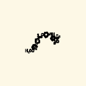 COc1ccc(N2CCN(C(=S)COC3CCC(Nc4ccc([N+](=O)[O-])c(C(F)(F)F)c4)CC3)CC2)cn1